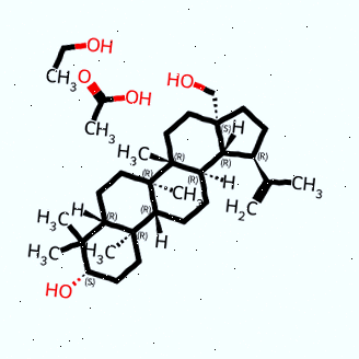 C=C(C)[C@@H]1CC[C@]2(CO)CC[C@]3(C)[C@H](CC[C@@H]4[C@@]5(C)CC[C@H](O)C(C)(C)[C@@H]5CC[C@]43C)[C@@H]12.CC(=O)O.CCO